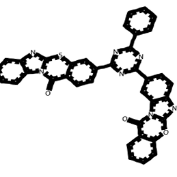 O=c1c2ccccc2oc2nc3ccc(-c4nc(-c5ccccc5)nc(-c5ccc6c(=O)n7c(nc8ccccc87)sc6c5)n4)cc3n12